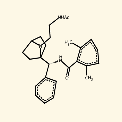 CC(=O)NCCN1C2CCC1([C@H](NC(=O)c1c(C)cccc1C)c1ccccc1)CC2